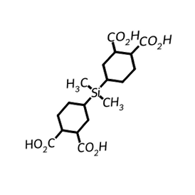 C[Si](C)(C1CCC(C(=O)O)C(C(=O)O)C1)C1CCC(C(=O)O)C(C(=O)O)C1